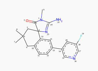 CN1C(=O)C2(CC(C)(C)Cc3ccc(-c4cncc(F)c4)cc32)N=C1N